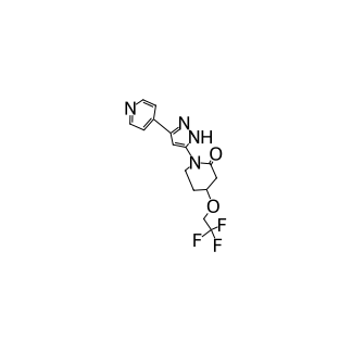 O=C1CC(OCC(F)(F)F)CCN1c1cc(-c2ccncc2)n[nH]1